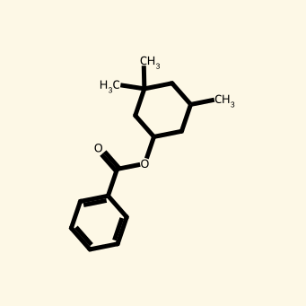 CC1CC(OC(=O)c2ccccc2)CC(C)(C)C1